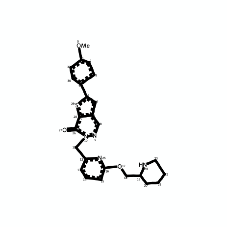 COc1ccc(-c2cc3cnn(Cc4cccc(OCC5CCCCN5)n4)c(=O)c3s2)cc1